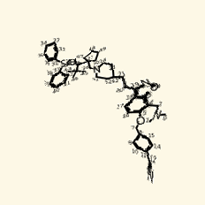 CN(C)Cc1c(OCc2ccc(C#N)cc2)ccc2c(CCC3CCN(CC4(C(O[SiH](c5ccccc5)c5ccccc5)C(C)(C)C)CCCC4)CC3)noc12